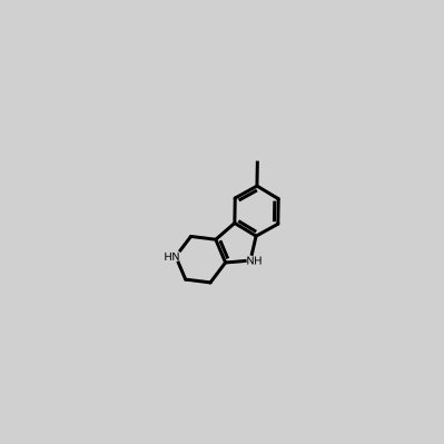 Cc1ccc2[nH]c3c(c2c1)CNCC3